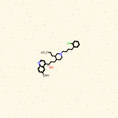 COc1ccc2nccc([C@@H](O)CCC3CCN(CCCCc4ccccc4Cl)CC3CCC(=O)O)c2c1